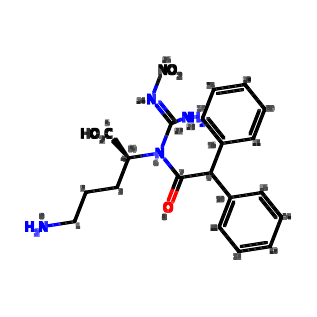 NCCC[C@@H](C(=O)O)N(C(=O)C(c1ccccc1)c1ccccc1)C(N)=N[N+](=O)[O-]